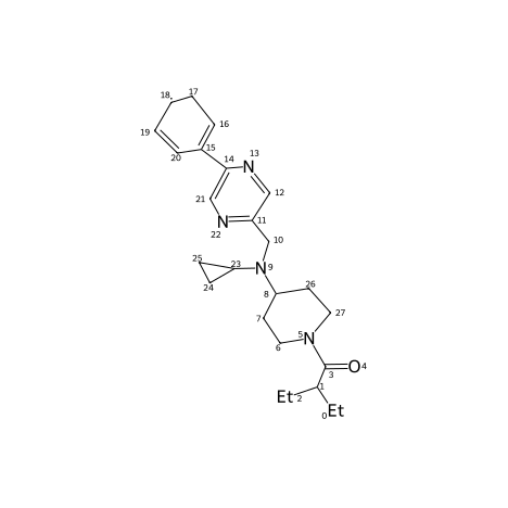 CCC(CC)C(=O)N1CCC(N(Cc2cnc(C3=CC[CH]C=C3)cn2)C2CC2)CC1